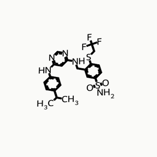 CC(C)c1ccc(Nc2cc(NCc3cc(S(N)(=O)=O)ccc3SCC(F)(F)F)ncn2)cc1